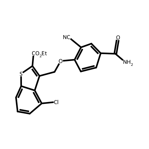 CCOC(=O)c1sc2cccc(Cl)c2c1COc1ccc(C(N)=O)cc1C#N